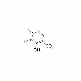 Cn1ccc(C(=O)O)c(O)c1=O